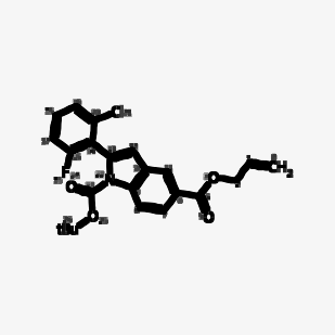 C=CCOC(=O)c1ccc2c(c1)cc(-c1c(F)cccc1Cl)n2C(=O)OC(C)(C)C